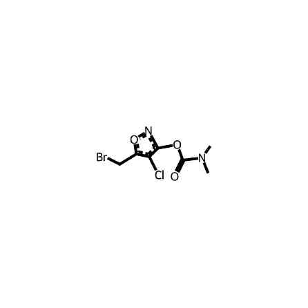 CN(C)C(=O)Oc1noc(CBr)c1Cl